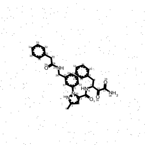 Cc1cc(C(=O)NC(Cc2ccccc2)C(=O)C(N)=O)n(-c2cccc(CNC(=O)Cc3ccccc3)c2)n1